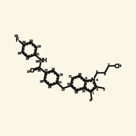 Cc1c(C)n(CCCCl)c2ccc(Cc3ccc(C(=O)Nc4ccc(F)cc4)cc3)cc12